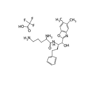 Cc1cc2nc(C(O)[C@@H](CCc3ccccc3)NC(=O)[C@H](N)CCCN)oc2cc1C.O=C(O)C(F)(F)F